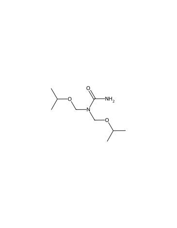 CC(C)OCN(COC(C)C)C(N)=O